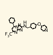 FC(F)(F)c1cc(-c2ccccc2)n2nc(NCc3ccc(Oc4ccncc4)cc3)nc2n1